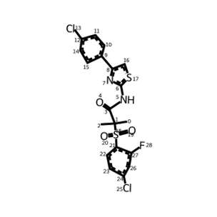 CC(C)(C(=O)Nc1nc(-c2ccc(Cl)cc2)cs1)S(=O)(=O)c1ccc(Cl)cc1F